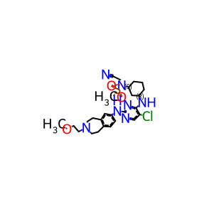 COCCN1CCc2ccc(Nc3ncc(Cl)c(N[C@@H]4CCC[C@H](N(CC#N)S(C)(=O)=O)C4)n3)cc2CC1